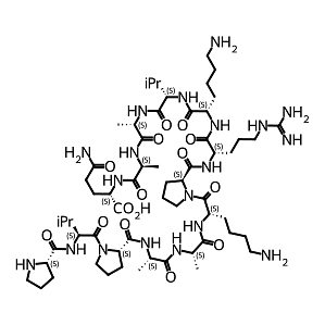 CC(C)[C@H](NC(=O)[C@H](CCCCN)NC(=O)[C@H](CCCNC(=N)N)NC(=O)[C@@H]1CCCN1C(=O)[C@H](CCCCN)NC(=O)[C@H](C)NC(=O)[C@H](C)NC(=O)[C@@H]1CCCN1C(=O)[C@@H](NC(=O)[C@@H]1CCCN1)C(C)C)C(=O)N[C@@H](C)C(=O)N[C@@H](C)C(=O)N[C@@H](CCC(N)=O)C(=O)O